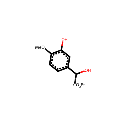 CCOC(=O)C(O)c1ccc(OC)c(O)c1